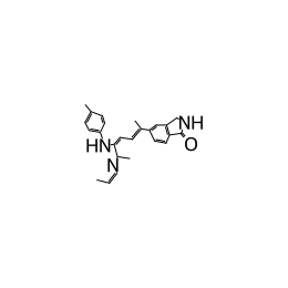 C\C=C/N=C(C)/C(=C\C=C(/C)c1ccc2c(c1)CNC2=O)Nc1ccc(C)cc1